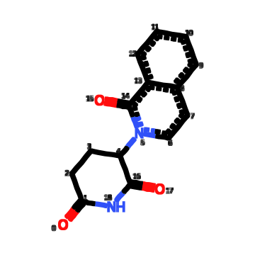 O=C1CCC(n2ccc3ccccc3c2=O)C(=O)N1